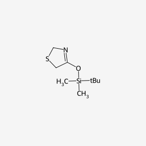 CC(C)(C)[Si](C)(C)OC1=NCSC1